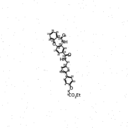 CCOC(=O)COc1ccc(-c2ncc(CNC(=O)c3ccc4c(c3)NC(=O)c3ccccc3O4)s2)cc1